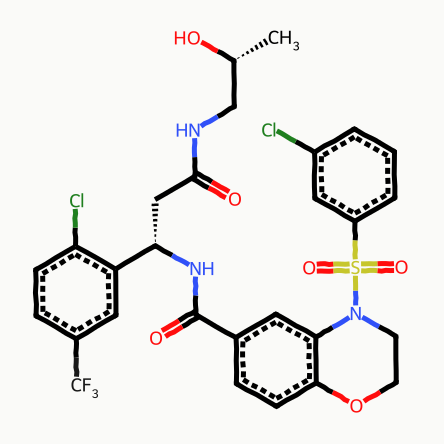 C[C@@H](O)CNC(=O)C[C@H](NC(=O)c1ccc2c(c1)N(S(=O)(=O)c1cccc(Cl)c1)CCO2)c1cc(C(F)(F)F)ccc1Cl